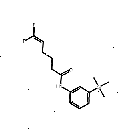 C[Si](C)(C)c1cccc(NC(=O)CCCC=C(F)F)c1